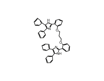 c1ccc(-c2nc(-c3ccccc3OCCCOc3ccccc3-c3nc(-c4ccccc4)c(-c4ccccc4)[nH]3)[nH]c2-c2ccccc2)cc1